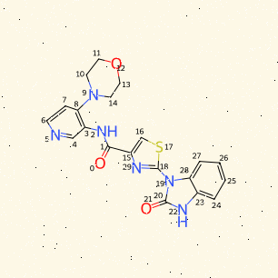 O=C(Nc1cnccc1N1CCOCC1)c1csc(-n2c(=O)[nH]c3ccccc32)n1